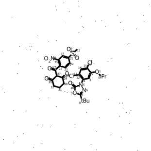 CC(C)Oc1cc(-n2nc(C(C)(C)C)oc2=O)c(Cl)cc1Cl.CS(=O)(=O)c1ccc(C(=O)C2C(=O)CCCC2=O)c([N+](=O)[O-])c1